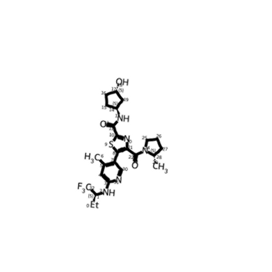 CC[C@H](Nc1cc(C)c(-c2sc(C(=O)N[C@H]3CC[C@H](O)C3)nc2C(=O)N2CCC[C@@H]2C)cn1)C(F)(F)F